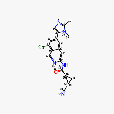 Cc1ncc(-c2cc(Cl)c3cnc(NC(=O)[C@H]4C[C@@H]4C#N)cc3c2)n1C